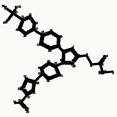 CNC(=O)CCc1cc(-c2ccc(-c3ccc(C(F)(F)F)cc3)cc2)n(-c2ccc(-n3cc(C(C)=O)nn3)cc2)n1